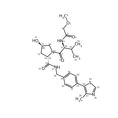 COCC(=O)N[C@H](C(=O)N1C[C@H](O)C[C@H]1C(=O)NCc1ccc(-c2scnc2C)cc1)C(C)C